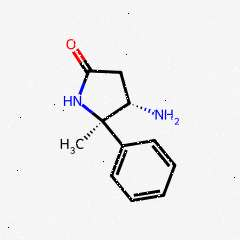 C[C@]1(c2ccccc2)NC(=O)C[C@@H]1N